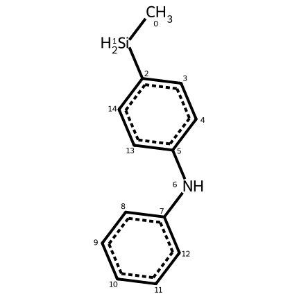 C[SiH2]c1ccc(Nc2ccccc2)cc1